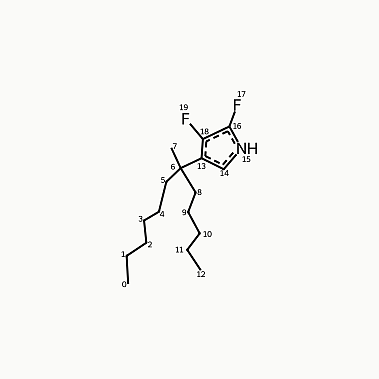 CCCCCCC(C)(CCCCC)c1c[nH]c(F)c1F